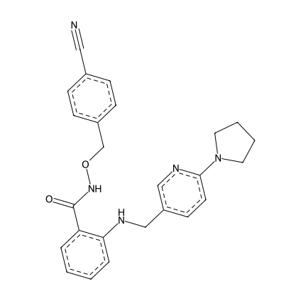 N#Cc1ccc(CONC(=O)c2ccccc2NCc2ccc(N3CCCC3)nc2)cc1